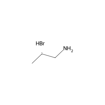 Br.C[CH]CN